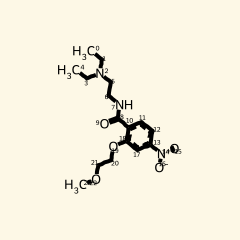 CCN(CC)CCNC(=O)c1ccc([N+](=O)[O-])cc1OCCOC